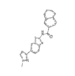 Cc1nc(-c2ccc3nc(NC(=O)c4ccc5ccccc5c4)sc3c2)cs1